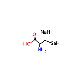 NC(C[SeH])C(=O)O.[NaH]